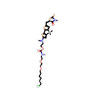 CN1C(=O)/C(=C\c2cc3c(s2)-c2sc(N(C)CCOC(=O)NCCOCCOCCCCCCCl)cc2[Si]3(C)C)SC1=S